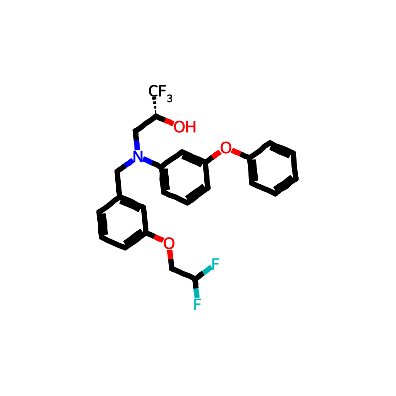 O[C@H](CN(Cc1cccc(OCC(F)F)c1)c1cccc(Oc2ccccc2)c1)C(F)(F)F